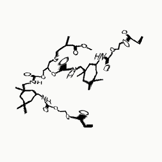 C=CC(=O)OCCOC(=O)NC1CC(C)(C)CC(C)(CNC(=O)OCC(CSCC(C)C(=O)OC)OC(=O)NCC2(C)CC(NC(=O)OCCOC(=O)C=C)CC(C)(C)C2)C1